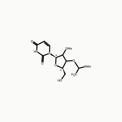 CNC(N)OC1C(OC)[C@H](n2ccc(=O)[nH]c2=O)O[C@@H]1CO